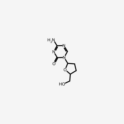 Nc1ncn(C2CCC(CO)O2)c(=O)n1